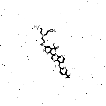 CCCN(CCC)CCNc1cc(C(F)(F)F)c(-c2cnc3c(Nc4ccc(C(F)(F)F)cn4)ccnc3n2)nn1